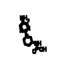 Nc1cnc(N2CCCC(NC(=O)O)C2)nc1